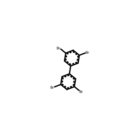 Brc1[c]c(Br)cc(-c2cc(Br)[c]c(Br)c2)c1